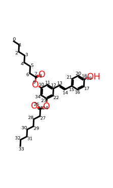 CCCCCCCC(=O)Oc1cc(C=Cc2ccc(O)cc2)cc(OC(=O)CCCCCCC)c1